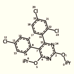 CC(C)Oc1nc(OC(C)C)c(-c2ccc(Cl)cc2)c(-c2ccc(Cl)cc2Cl)n1